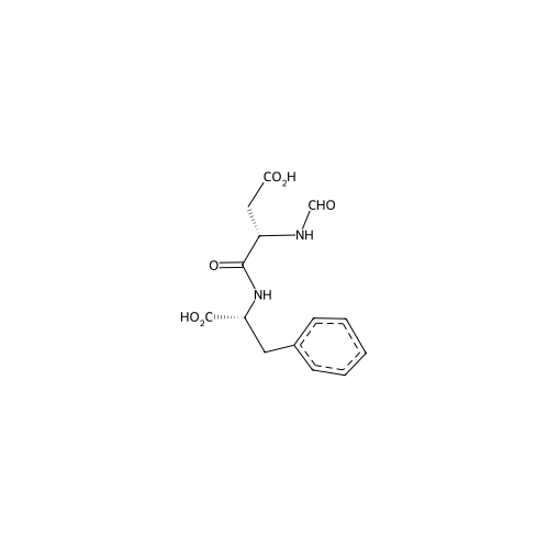 O=CN[C@@H](CC(=O)O)C(=O)N[C@H](Cc1ccccc1)C(=O)O